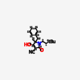 CC(C)(C)CCN1C(=O)C(C#N)=C(O)C1(C)Cc1ccccc1